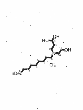 CCCCCCCCCCCCCCCCCC[N+](=CCO)CCC(O)O.[Cl-]